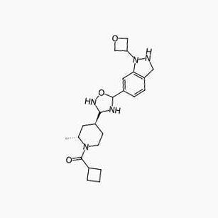 C[C@@H]1C[C@@H](C2NOC(c3ccc4c(c3)N(C3COC3)NC4)N2)CCN1C(=O)C1CCC1